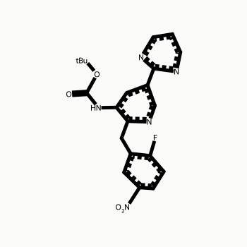 CC(C)(C)OC(=O)Nc1cc(-c2ncccn2)cnc1Cc1cc([N+](=O)[O-])ccc1F